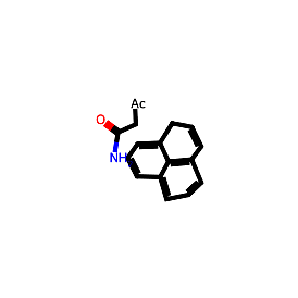 C1=Cc2cccc3cccc(c23)C1.CC(=O)CC(N)=O